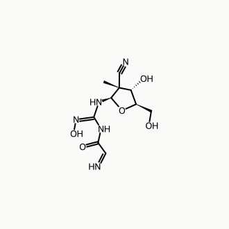 C[C@]1(C#N)[C@H](N/C(=N/O)NC(=O)C=N)O[C@H](CO)[C@H]1O